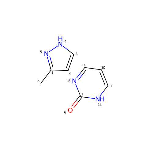 Cc1cc[nH]n1.O=c1nccc[nH]1